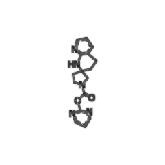 O=C(Oc1ncccn1)N1CCC2(CCc3cccnc3N2)C1